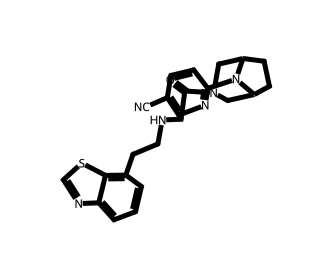 N#Cc1ccc(N2C3CCC2CN(C(=O)CNCCc2cccc4ncsc24)C3)nc1